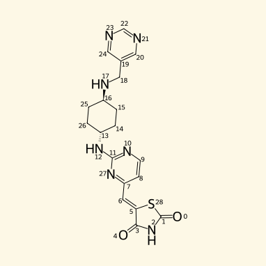 O=C1NC(=O)/C(=C/c2ccnc(N[C@H]3CC[C@H](NCc4cncnc4)CC3)n2)S1